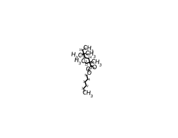 CCCCCCOOC(=O)C(C)(CC)CCC(C)(C)CC